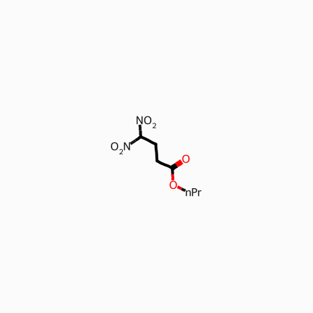 CCCOC(=O)CCC([N+](=O)[O-])[N+](=O)[O-]